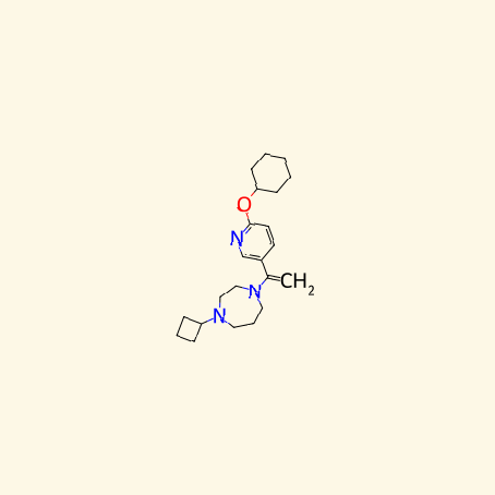 C=C(c1ccc(OC2CCCCC2)nc1)N1CCCN(C2CCC2)CC1